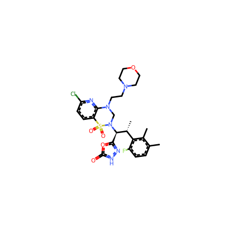 Cc1ccc(F)c([C@@H](C)[C@@H](c2n[nH]c(=O)o2)N2CN(CCN3CCOCC3)c3nc(Cl)ccc3S2(=O)=O)c1C